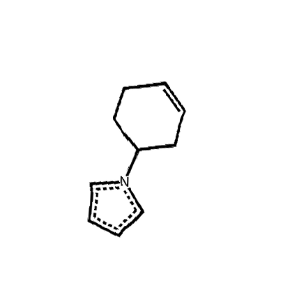 C1=CCC(n2cccc2)CC1